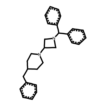 c1ccc(CC2CCN(C3CN(C(c4ccccc4)c4ccccc4)C3)CC2)cc1